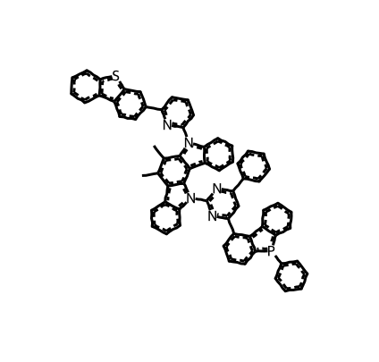 Cc1c(C)c2c(c3ccccc3n2-c2cccc(-c3ccc4c(c3)sc3ccccc34)n2)c2c1c1ccccc1n2-c1nc(-c2ccccc2)cc(-c2cccc3c2c2ccccc2p3-c2ccccc2)n1